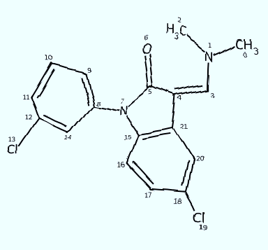 CN(C)/C=C1\C(=O)N(c2cccc(Cl)c2)c2ccc(Cl)cc21